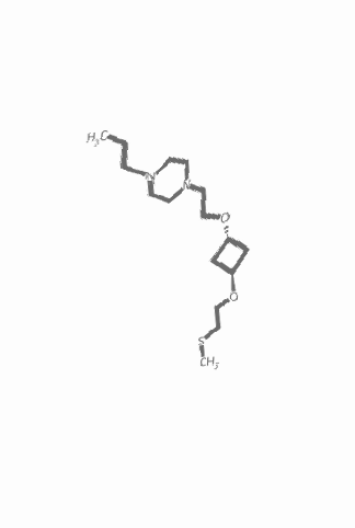 CCCN1CCN(CCO[C@H]2C[C@H](OCCSC)C2)CC1